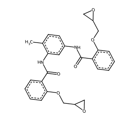 Cc1ccc(NC(=O)c2ccccc2OCC2CO2)cc1NC(=O)c1ccccc1OCC1CO1